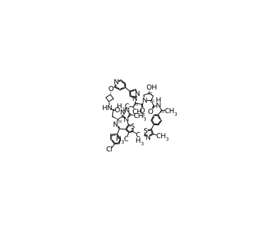 Cc1ncsc1-c1ccc([C@H](C)NC(=O)[C@@H]2C[C@@H](O)CN2C(=O)[C@@H](C(C)C)n2cc(-c3ccnc(O[C@H]4C[C@H](NC(=O)C[C@@H]5N=C(c6ccc(Cl)cc6)c6c(sc(C)c6C)-n6c(C)nnc65)C4)c3)cn2)cc1